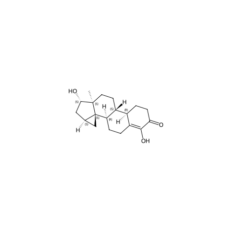 C[C@]12CC[C@H]3[C@@H](CCC4=C(O)C(=O)CC[C@@H]43)[C@@]13C[C@H]3C[C@@H]2O